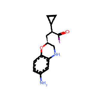 Nc1ccc2c(c1)NC[C@H](CC(C(=O)I)C1CC1)O2